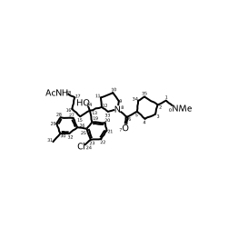 CNCC1CCC(C(=O)N2CCCC(C(O)(CCCNC(C)=O)c3cccc(Cl)c3-c3cccc(C)c3)C2)CC1